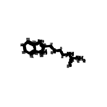 NC(=S)NCCSCc1nc2ccccc2[nH]1